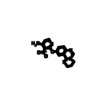 Nc1ccnc(Oc2ccc3c(c2)C2=NCCCN2C=N3)c1[N+](=O)[O-]